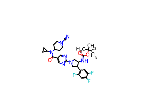 CC(C)(C)OC(=O)NC1CN(c2ncc(C(=O)N(C3CC3)C3CCN(C#N)CC3)cn2)CC1c1cc(F)c(F)cc1F